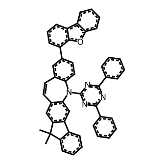 CC1(C)c2ccccc2-c2cc3c(cc21)C=Cc1cc(-c2cccc4c2oc2ccccc24)ccc1N3c1nc(-c2ccccc2)nc(-c2ccccc2)n1